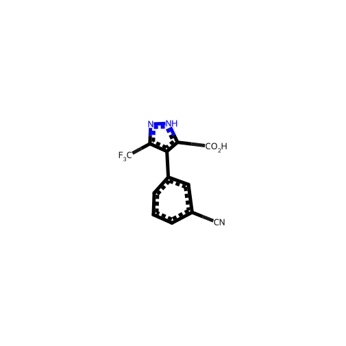 N#Cc1cccc(-c2c(C(F)(F)F)n[nH]c2C(=O)O)c1